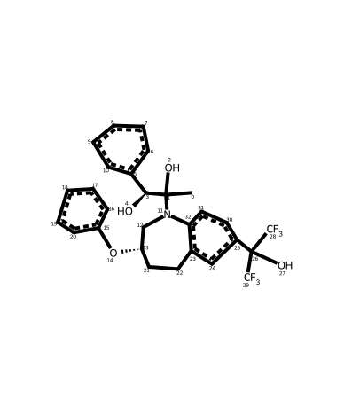 CC(O)([C@@H](O)c1ccccc1)N1C[C@@H](Oc2ccccc2)CCc2cc(C(O)(C(F)(F)F)C(F)(F)F)ccc21